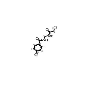 O=[C](CCl)[Sn][CH2]NC(=O)c1ccc(Cl)cc1